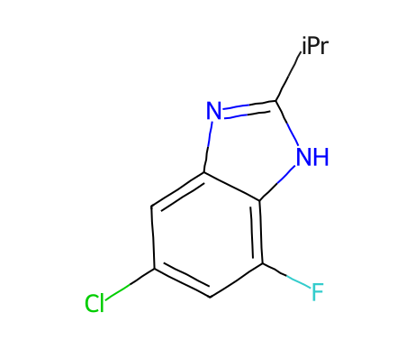 CC(C)c1nc2cc(Cl)cc(F)c2[nH]1